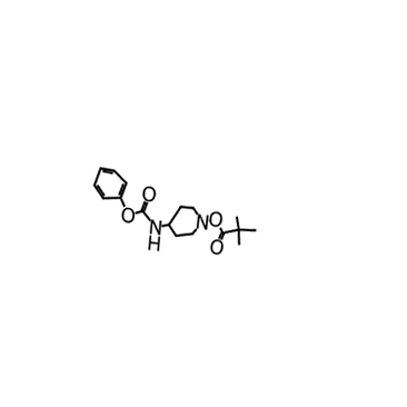 CC(C)(C)C(=O)ON1CCC(NC(=O)Oc2ccccc2)CC1